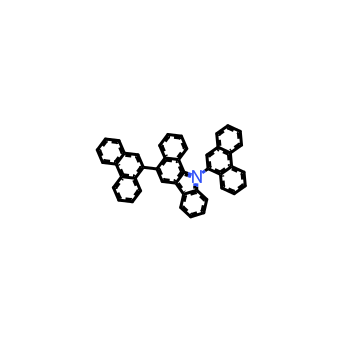 c1ccc2c(c1)cc(-c1cc3c4ccccc4n(-c4cc5ccccc5c5ccccc45)c3c3ccccc13)c1ccccc12